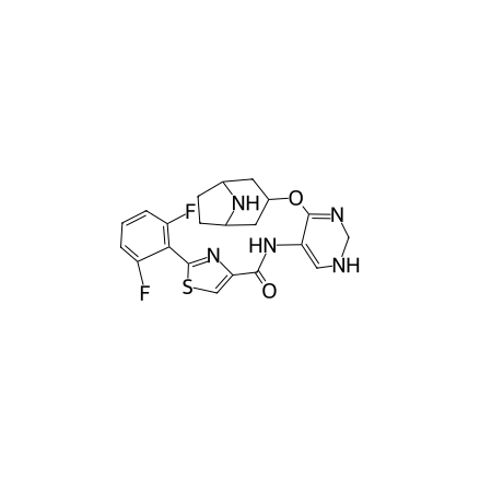 O=C(NC1=CNCN=C1OC1CC2CCC(C1)N2)c1csc(-c2c(F)cccc2F)n1